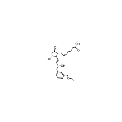 CCOCc1cccc(C[C@H](O)/C=C/[C@H]2[C@H](O)CC(=O)[C@@H]2C/C=C\CCCC(=O)O)c1